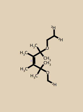 [2H]COC(C)(C)/C(C)=C(/C)C(C)(C)OCC([2H])[2H]